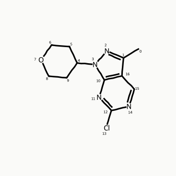 Cc1nn(C2CCOCC2)c2nc(Cl)ncc12